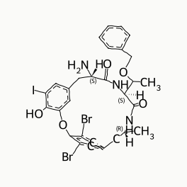 CC(OCc1ccccc1)[C@@H]1NC(=O)[C@@H](N)Cc2cc(I)c(O)c(c2)Oc2c(Br)cc(cc2Br)C[C@@H](C)NC1=O